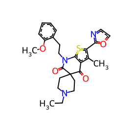 CCN1CCC2(CC1)C(=O)c1c(sc(-c3ncco3)c1C)N(CCc1ccccc1OC)C2=O